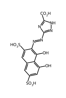 O=C(O)c1nc(/N=N/c2c(S(=O)(=O)O)cc3cc(S(=O)(=O)O)cc(O)c3c2O)n[nH]1